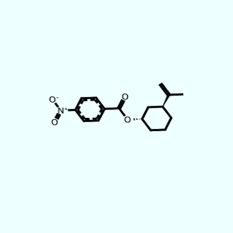 C=C(C)[C@H]1CCC[C@H](OC(=O)c2ccc([N+](=O)[O-])cc2)C1